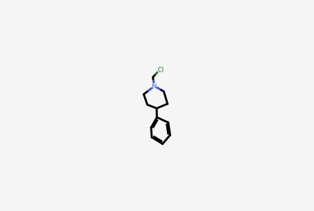 ClCN1CCC(c2ccccc2)CC1